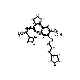 COc1cc2c3c(c(NC(C)C4CCC4)nc2cc1OCCCN1CCCC1)CCC3